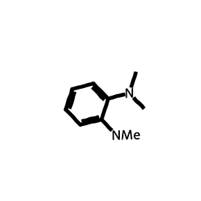 CNc1ccccc1N(C)C